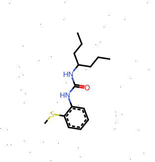 CCCC(CCC)NC(=O)Nc1ccccc1SC